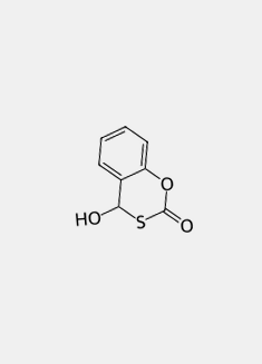 O=C1Oc2ccccc2C(O)S1